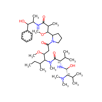 CCC(C)C(C(CC(=O)N1CCCC1C(OC)C(C)C(=O)NC(C)C(O)c1ccccc1)OC)N(C)C(=O)[C@@H](NC(O)[C@H](C(C)C)N(C)C)C(C)C